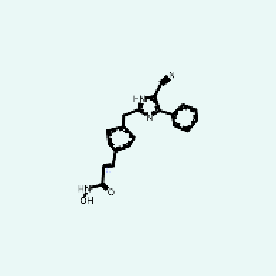 N#Cc1[nH]c(Cc2ccc(/C=C/C(=O)NO)cc2)nc1-c1ccccc1